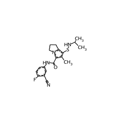 Cc1c(SNC(C)C)c2n(c1C(=O)Nc1ccc(F)c(C#N)c1)CCC2